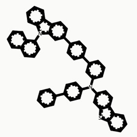 c1ccc(-c2ccc(N(c3cccc(-c4ccc(-c5ccc6c7ccccc7n(-c7cccc8ccccc78)c6c5)cc4)c3)c3ccc4c(c3)sc3ccccc34)cc2)cc1